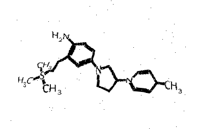 CC1C=CN(C2CCN(c3ccc(N)c(CCS(C)(C)C)c3)C2)C=C1